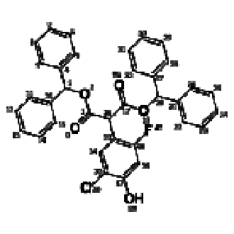 O=C(OC(c1ccccc1)c1ccccc1)C(C(=O)OC(c1ccccc1)c1ccccc1)c1cc(Cl)c(O)cc1F